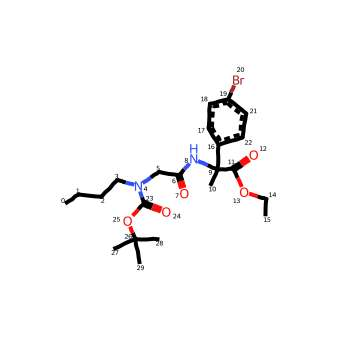 CCCCN(CC(=O)NC(C)(C(=O)OCC)c1ccc(Br)cc1)C(=O)OC(C)(C)C